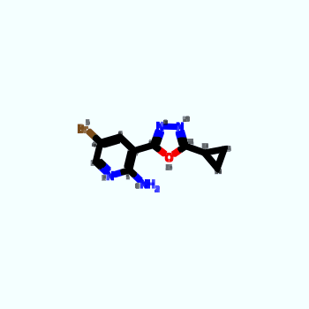 Nc1ncc(Br)cc1-c1nnc(C2CC2)o1